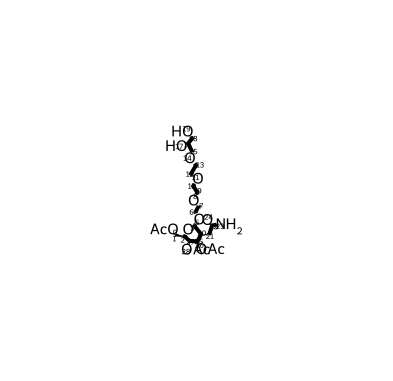 CC(=O)OC[C@H]1O[C@@H](OCCOCCOCCOC[C@H](O)CO)[C@H](CC(N)=O)[C@@H](OC(C)=O)[C@H]1OC(C)=O